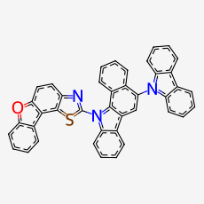 c1ccc2c(c1)oc1ccc3nc(-n4c5ccccc5c5cc(-n6c7ccccc7c7ccccc76)c6ccccc6c54)sc3c12